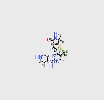 C[C@@H]1CNCC[C@@H]1Nc1ncc(C(F)(F)F)c(-c2cc3c(s2)C(C)(C)NC3=O)n1